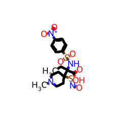 CCC(NS(=O)(=O)c1ccc([N+](=O)[O-])cc1)(C(=O)O)C1(SN=O)CCN(C)CC1